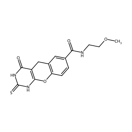 COCCNC(=O)c1ccc2c(c1)Cc1c([nH]c(=S)[nH]c1=O)O2